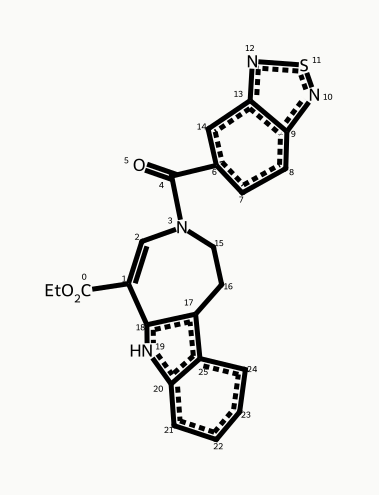 CCOC(=O)C1=CN(C(=O)c2ccc3nsnc3c2)CCc2c1[nH]c1ccccc21